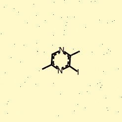 Cc1cnc(C)c(I)n1